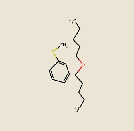 CCCCCOCCCCC.CSc1ccccc1